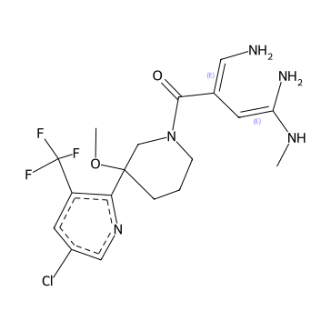 CN/C(N)=C/C(=C\N)C(=O)N1CCCC(OC)(c2ncc(Cl)cc2C(F)(F)F)C1